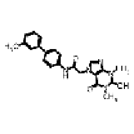 Cc1cccc(-c2ccc(NC(=O)Cn3cnc4c3C(=O)N(C)C(O)N4C)cc2)c1